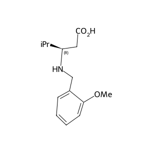 COc1ccccc1CN[C@H](CC(=O)O)C(C)C